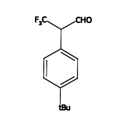 CC(C)(C)c1ccc(C(C=O)C(F)(F)F)cc1